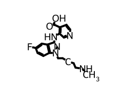 CNCCCCCn1nc(Nc2cnccc2C(=O)O)c2cc(F)ccc21